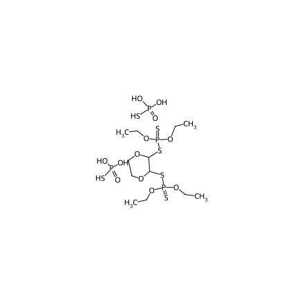 CCOP(=S)(OCC)SC1OCCOC1SP(=S)(OCC)OCC.O=P(O)(O)S.O=P(O)(O)S